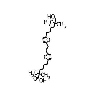 CC(C)(CO)CCCCc1ccc(CCc2ccc(CCCCC(C)(C)C(=O)O)o2)o1